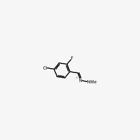 CN/N=C/c1ccc(Cl)cc1F